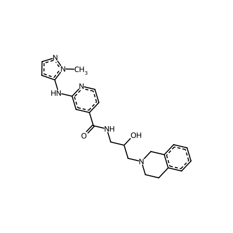 Cn1nccc1Nc1cc(C(=O)NCC(O)CN2CCc3ccccc3C2)ccn1